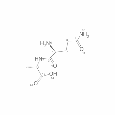 C[C@H](NC(=O)[C@@H](N)CCC(N)=O)C(=O)O